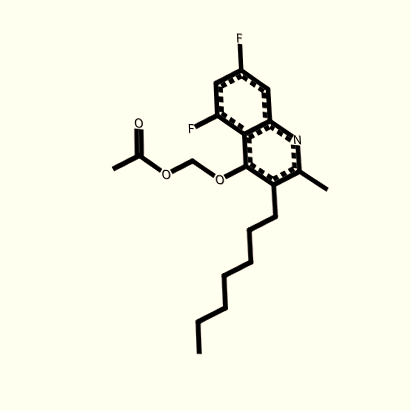 CCCCCCCc1c(C)nc2cc(F)cc(F)c2c1OCOC(C)=O